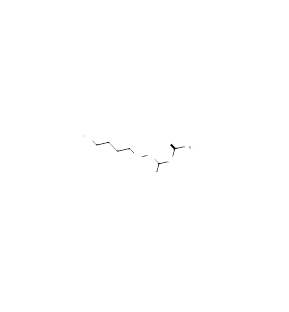 CCCCCC(=O)OC(OOCCCCO)C(C)C